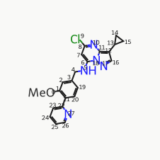 COc1cc(CNc2cc(Cl)nc3c(C4CC4)cnn23)ccc1-c1ccccn1